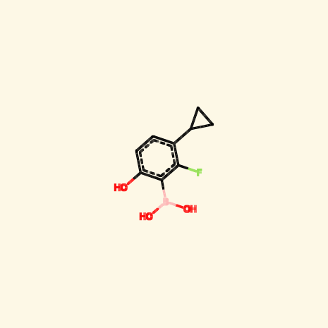 OB(O)c1c(O)ccc(C2CC2)c1F